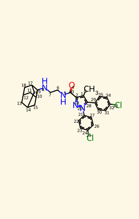 Cc1c(C(=O)NCCNC2C3CC4CC(C3)CC2C4)nn(-c2ccc(Cl)cc2)c1-c1ccc(Cl)cc1